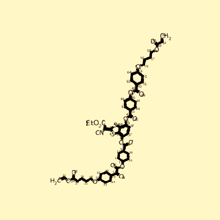 [C-]#[N+]/C(C(=O)OCC)=C1\Sc2c(OC(=O)C3CCC(OC(=O)C(=O)C4CCC(OCCCCC(=O)OC=C)CC4)CC3)ccc(OC(=O)C3CCC(OC(=O)C4CCC(OCCCCOC(=O)C=C)CC4)CC3)c2S1